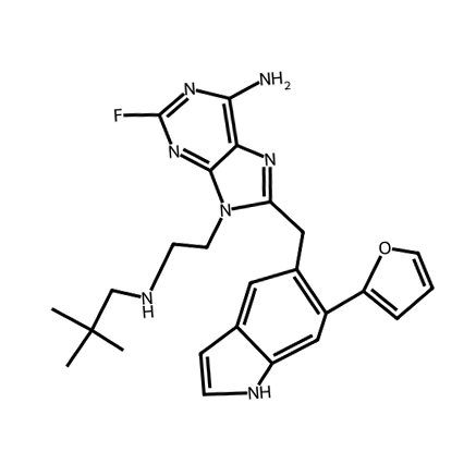 CC(C)(C)CNCCn1c(Cc2cc3cc[nH]c3cc2-c2ccco2)nc2c(N)nc(F)nc21